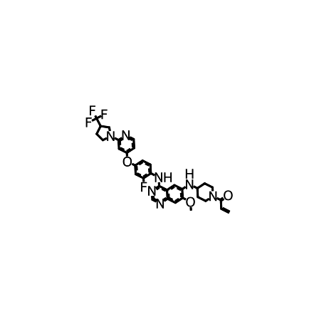 C=CC(=O)N1CCC(Nc2cc3c(Nc4ccc(Oc5ccnc(N6CCC(C(F)(F)F)C6)c5)cc4F)ncnc3cc2OC)CC1